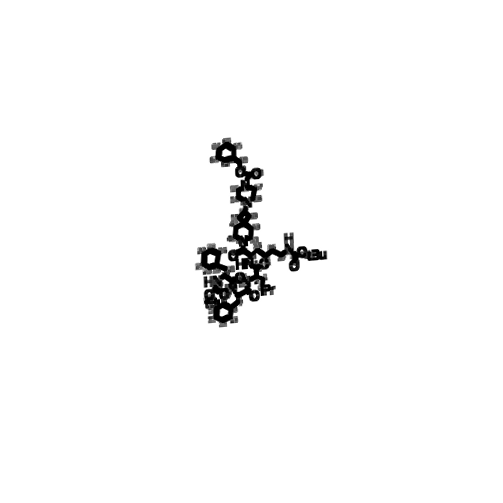 CC(C)C[C@@H](NC(=O)[C@@H](Cc1ccccc1)NC(=O)[C@@H](Cc1ccccc1)NC(=O)OC(C)(C)C)C(=O)N[C@H](CCCCNC(=O)OC(C)(C)C)C(=O)N1CCC2(CC1)CC(N1CCN(C(=O)OCc3ccccc3)CC1)C2